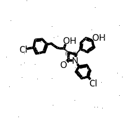 O=C1[C@@H](C(O)CCc2ccc(Cl)cc2)[C@@H](c2ccc(O)cc2)N1c1ccc(Cl)cc1